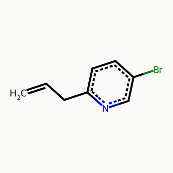 C=CCc1ccc(Br)cn1